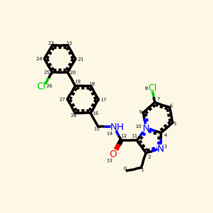 CCc1nc2ccc(Cl)cn2c1C(=O)NCc1ccc(-c2ccccc2Cl)cc1